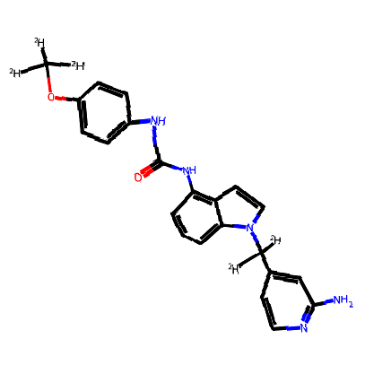 [2H]C([2H])([2H])Oc1ccc(NC(=O)Nc2cccc3c2ccn3C([2H])([2H])c2ccnc(N)c2)cc1